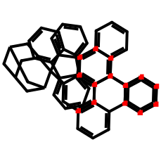 c1ccc(-c2ccccc2-c2ccccc2-c2ccccc2N(c2ccccc2-n2c3ccccc3c3ccccc32)c2cccc3c2-c2ccccc2C32C3CC4CC(C3)CC2C4)cc1